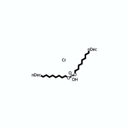 CCCCCCCCCCCCCCCCCCOP(=O)(O)OCCCCCCCCCCCCCCCCCC.[Cr]